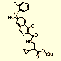 CC(C)(C)OC(=O)C(CNC(=O)c1ncc2c(c1O)=CCC(C#N)(Oc1ccccc1F)C=2)C1CC1